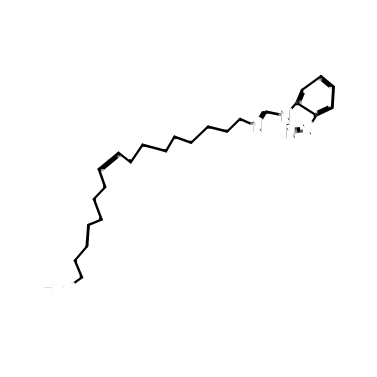 CCCCCCCC/C=C\CCCCCCCCN=Cn1nnc2ccccc21